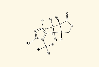 [2H]c1nc(C)n(C([2H])([2H])[2H])c1C([2H])([2H])[C@@]1([2H])COC(=O)[C@@]1([2H])C([2H])([2H])C